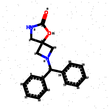 O=C1NCC2(CN(C(c3ccccc3)c3ccccc3)C2)O1